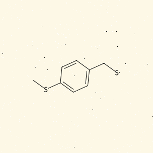 CSc1ccc(C[S])cc1